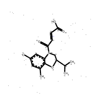 Cc1cc(Cl)cc2c1OC(C(C)C)CN2C(=O)/C=C/C(=O)O